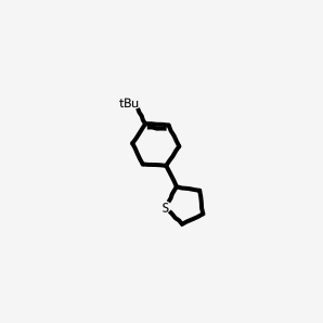 CC(C)(C)C1=CCC(C2CCCS2)CC1